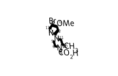 COc1cc(N2CCN(C(=O)O)C(C)C2)ncc1Br